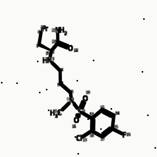 CC(C)C[C@H](NCCCN(C)S(=O)(=O)c1ccc(F)cc1Cl)C(N)=O